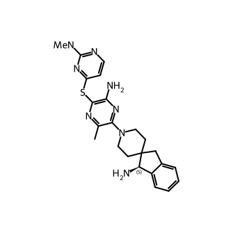 CNc1nccc(Sc2nc(C)c(N3CCC4(CC3)Cc3ccccc3[C@H]4N)nc2N)n1